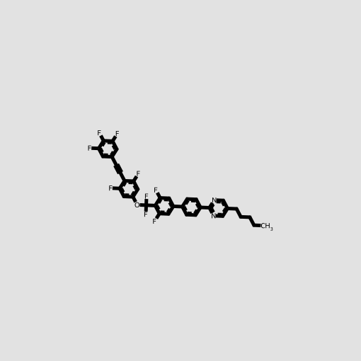 CCCCCc1cnc(-c2ccc(-c3cc(F)c(C(F)(F)Oc4cc(F)c(C#Cc5cc(F)c(F)c(F)c5)c(F)c4)c(F)c3)cc2)nc1